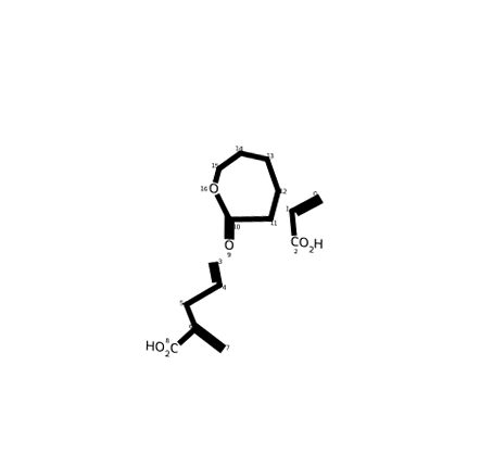 C=CC(=O)O.C=CCC(=C)C(=O)O.O=C1CCCCCO1